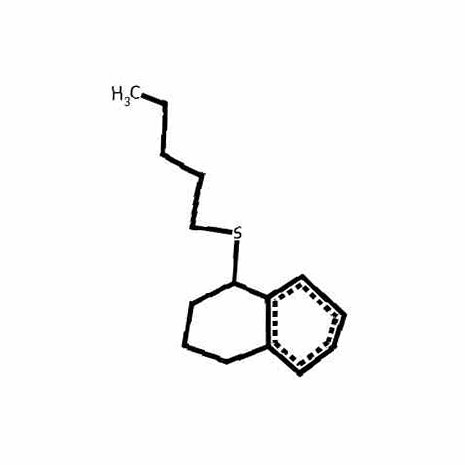 CCCCCSC1CCCc2ccccc21